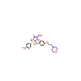 CCCC(Cc1ccc(OCCN2CCOCC2)cc1)(C(=O)NO)S(=O)(=O)c1ccc(OC)cc1